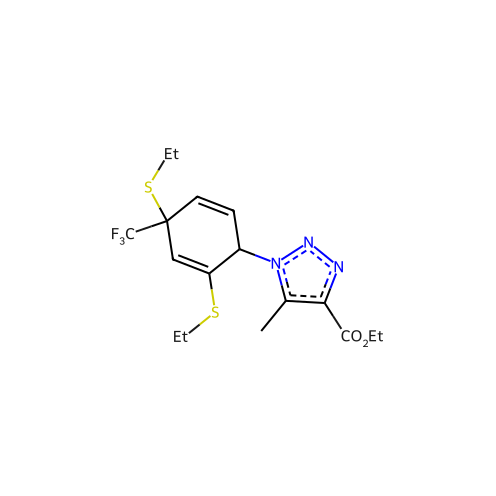 CCOC(=O)c1nnn(C2C=CC(SCC)(C(F)(F)F)C=C2SCC)c1C